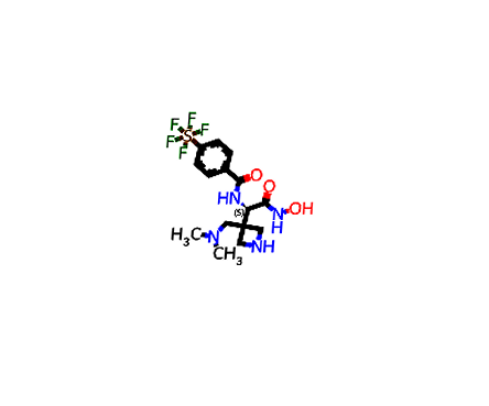 CN(C)CC1([C@H](NC(=O)c2ccc(S(F)(F)(F)(F)F)cc2)C(=O)NO)CNC1